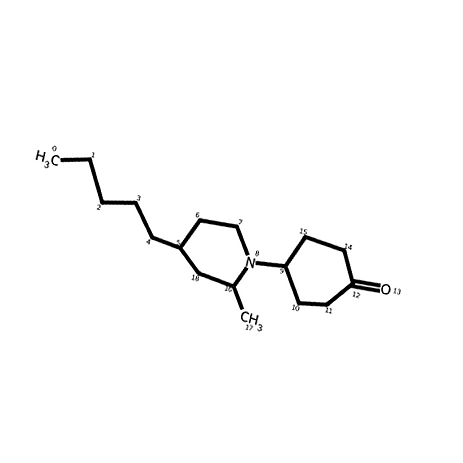 CCCCCC1CCN(C2CCC(=O)CC2)C(C)C1